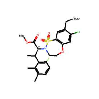 COCc1cc2c(cc1Cl)OCCN([C@H](C(=O)OC(C)(C)C)C(C)c1c(F)ccc(C)c1C)S2(=O)=O